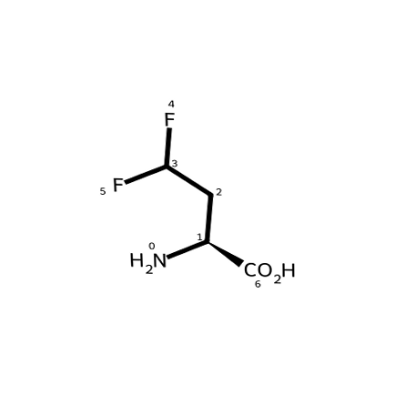 N[C@@H](CC(F)F)C(=O)O